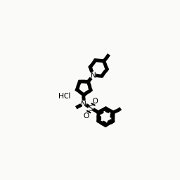 Cc1cccc(S(=O)(=O)N(C)C2CCC(N3CCC(C)CC3)C2)c1.Cl